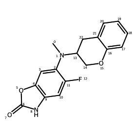 CN(c1cc2oc(=O)[nH]c2cc1F)C1COc2ccccc2C1